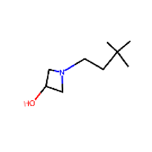 CC(C)(C)CCN1CC(O)C1